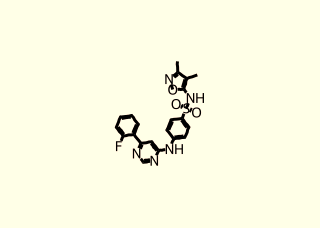 Cc1noc(NS(=O)(=O)c2ccc(Nc3cc(-c4ccccc4F)ncn3)cc2)c1C